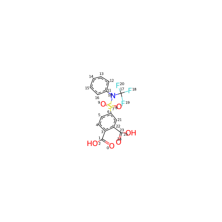 O=C(O)c1ccc(S(=O)(=O)N(c2ccccc2)C(F)(F)F)cc1C(=O)O